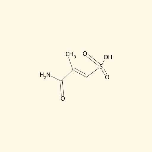 C/C(=C\S(=O)(=O)O)C(N)=O